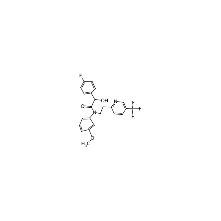 COc1cccc(N(CCc2ccc(C(F)(F)F)cn2)C(=O)C(O)c2ccc(F)cc2)c1